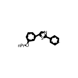 CCCOc1cccc(-c2cnc(-c3cc[c]cc3)s2)c1